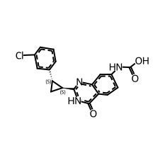 O=C(O)Nc1ccc2c(=O)[nH]c([C@H]3C[C@@H]3c3cccc(Cl)c3)nc2c1